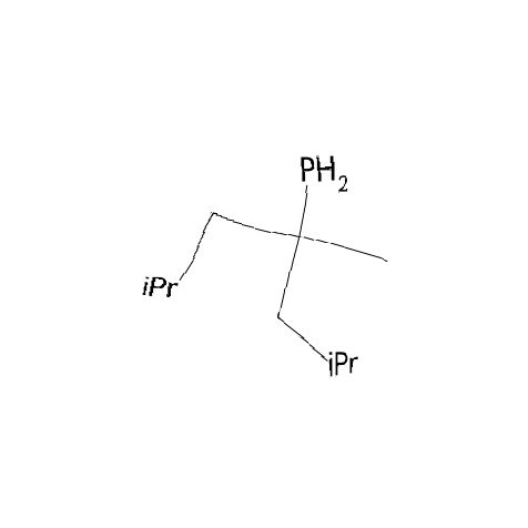 CC(C)CC(C)(P)CC(C)C